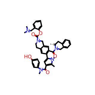 Cc1c(C(=O)N(C)c2ccc(O)cc2)cc(-c2cc3c(cc2C(=O)N2Cc4ccccc4C[C@H]2C)CN(C(=O)Oc2ccccc2CN(C)C)CC3)n1C